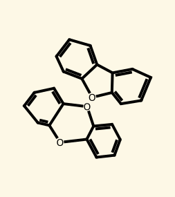 c1ccc2c(c1)Oc1ccccc1O2.c1ccc2c(c1)oc1ccccc12